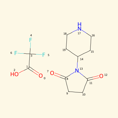 O=C(O)C(F)(F)F.O=C1CCC(=O)N1C1CCNCC1